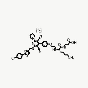 Cl.Cl.N#Cc1c(SCc2csc(-c3ccc(Cl)cc3)n2)nc(N2CCCC2)c(C#N)c1-c1ccc(OCCN[C@@H](CCCCN)C(=O)NCCC(=O)O)cc1